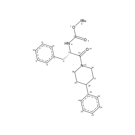 CC(C)(C)OC(=O)N[C@@H](Cc1ccccc1)C(=O)N1CCC(c2ccccc2)CC1